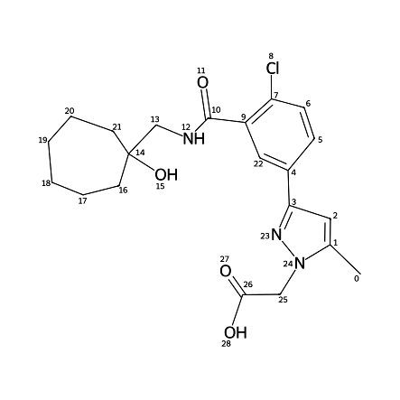 Cc1cc(-c2ccc(Cl)c(C(=O)NCC3(O)CCCCCC3)c2)nn1CC(=O)O